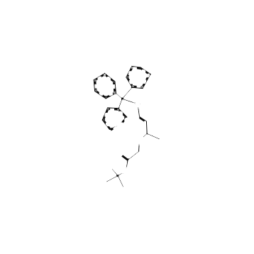 CC(C=COC(c1ccccc1)(c1ccccc1)c1ccccc1)OCC(=O)OC(C)(C)C